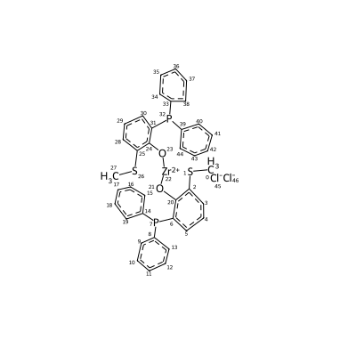 CSc1cccc(P(c2ccccc2)c2ccccc2)c1[O][Zr+2][O]c1c(SC)cccc1P(c1ccccc1)c1ccccc1.[Cl-].[Cl-]